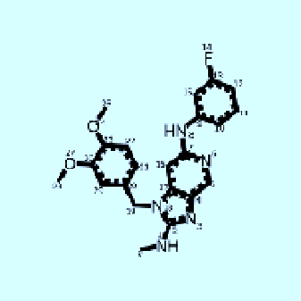 CNc1nc2cnc(Nc3cccc(F)c3)cc2n1Cc1ccc(OC)c(OC)c1